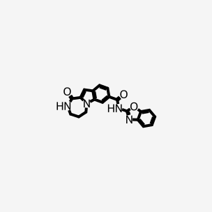 O=C(Nc1nc2ccccc2o1)c1ccc2cc3n(c2c1)CCCNC3=O